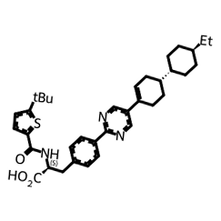 CC[C@H]1CC[C@H](C2CC=C(c3cnc(-c4ccc(C[C@H](NC(=O)c5ccc(C(C)(C)C)s5)C(=O)O)cc4)nc3)CC2)CC1